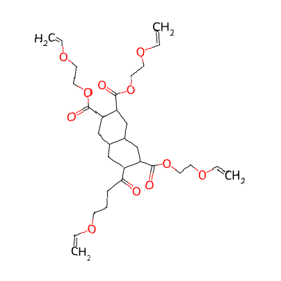 C=COCCCC(=O)C1CC2CC(C(=O)OCCOC=C)C(C(=O)OCCOC=C)CC2CC1C(=O)OCCOC=C